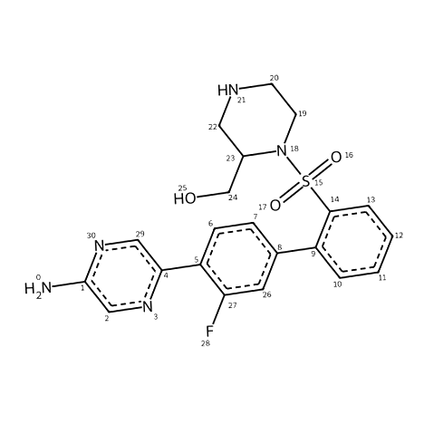 Nc1cnc(-c2ccc(-c3ccccc3S(=O)(=O)N3CCNCC3CO)cc2F)cn1